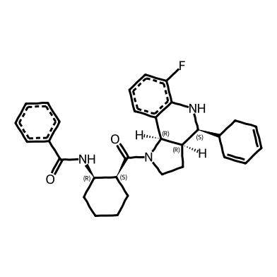 O=C(N[C@@H]1CCCC[C@@H]1C(=O)N1CC[C@@H]2[C@H](C3C=CC=CC3)Nc3c(F)cccc3[C@@H]21)c1ccccc1